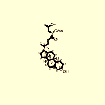 CON(CC(C)O)C(=O)CCC(C)[C@H]1CC[C@H]2[C@@H]3CC=C4C[C@@H](O)CC[C@]4(C)[C@H]3CC[C@]12C